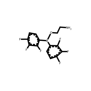 NCCOB(c1ccc(F)c(F)c1F)c1ccc(F)c(F)c1F